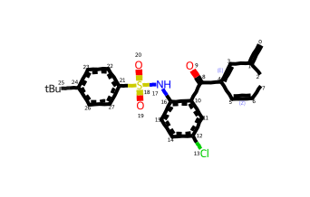 C=C(C)/C=C(\C=C/C)C(=O)c1cc(Cl)ccc1NS(=O)(=O)c1ccc(C(C)(C)C)cc1